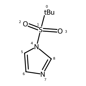 CC(C)(C)S(=O)(=O)n1ccnc1